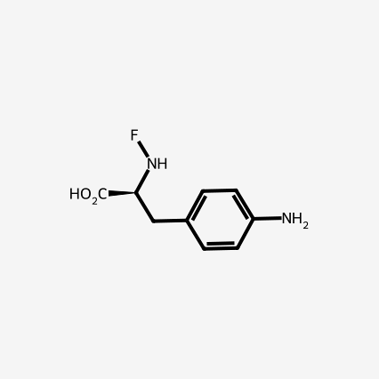 Nc1ccc(C[C@H](NF)C(=O)O)cc1